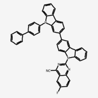 N#Cc1nc(-n2c3ccccc3c3cc(-c4ccc5c6ccccc6n(-c6ccc(-c7ccccc7)cc6)c5c4)ccc32)nc2ccc(F)cc12